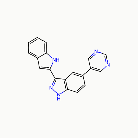 c1ccc2[nH]c(-c3n[nH]c4ccc(-c5cncnc5)cc34)cc2c1